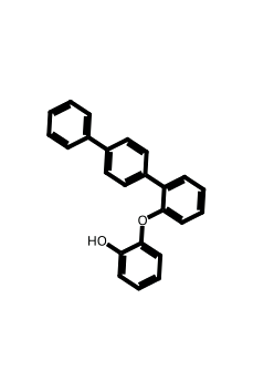 Oc1ccccc1Oc1ccccc1-c1ccc(-c2ccccc2)cc1